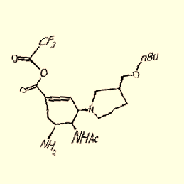 CCCCOC[C@H]1CCCN([C@@H]2C=C(C(=O)OC(=O)C(F)(F)F)C[C@H](N)[C@@H]2NC(C)=O)C1